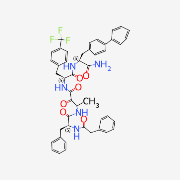 CC(NC(=O)[C@H](Cc1ccccc1)NC(=O)Cc1ccccc1)C(=O)C(=O)N[C@@H](Cc1ccc(C(F)(F)F)cc1)C(=O)N[C@@H](Cc1ccc(-c2ccccc2)cc1)C(N)=O